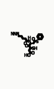 [N-]=[N+]=NCCCCC(=O)N[C@@H](CC(=O)Sc1ccccc1)C(=O)C(S)CC(=O)O